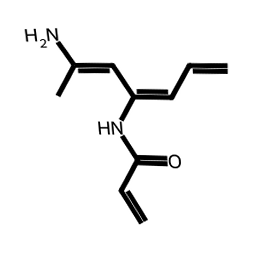 C=C/C=C(\C=C(/C)N)NC(=O)C=C